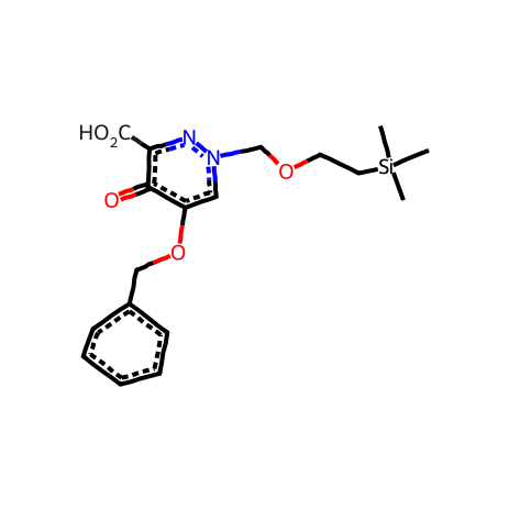 C[Si](C)(C)CCOCn1cc(OCc2ccccc2)c(=O)c(C(=O)O)n1